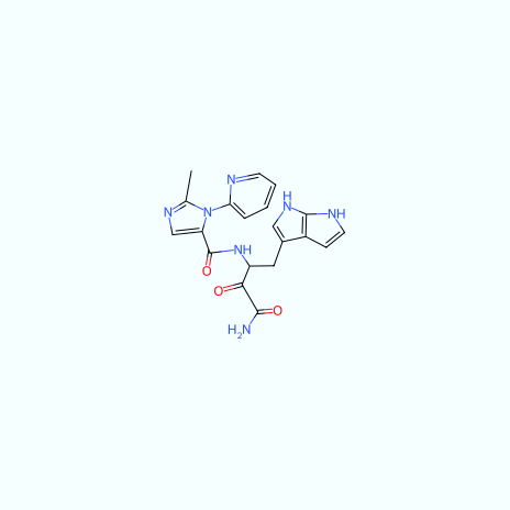 Cc1ncc(C(=O)NC(Cc2c[nH]c3[nH]ccc23)C(=O)C(N)=O)n1-c1ccccn1